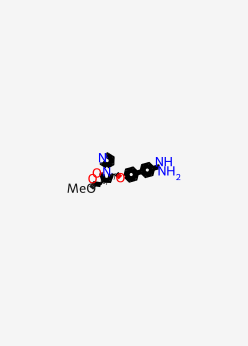 COC(=O)C[C@@H]1C[C@@H](COc2ccc(-c3ccc(C(=N)N)cc3)cc2)N(c2cccnc2)C1=O